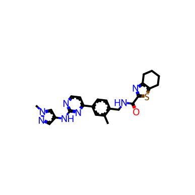 Cc1cc(-c2ccnc(Nc3cnn(C)c3)n2)ccc1CNC(=O)c1nc2c(s1)CCCC2